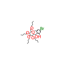 CCCCOCC1O[C@H]([C@@H](O)c2c(C)cc(Br)cc2C)C(OCCCC)C(OCCCC)[C@@H]1OCCCC